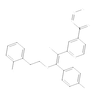 N=C(/N=N\N)c1ccnc(/C(N)=C(/NCCc2ccccc2Cl)c2ccc(Cl)cc2)c1